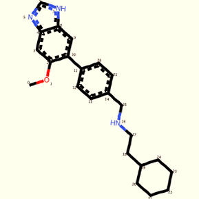 COc1cc2nc[nH]c2cc1-c1ccc(CNCCC2CCCCC2)cc1